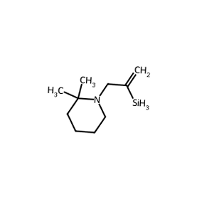 C=C([SiH3])CN1CCCCC1(C)C